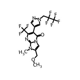 COCc1cn2c(=O)c(-c3cnn(CC(F)(F)C(F)(F)F)c3)c(C(F)(F)F)nc2n1C